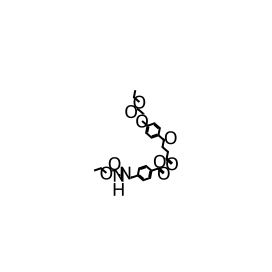 CCOC(=O)COc1ccc(C(=O)CCC(=O)OC(=O)c2ccc(C=NNC(=O)OCC)cc2)cc1